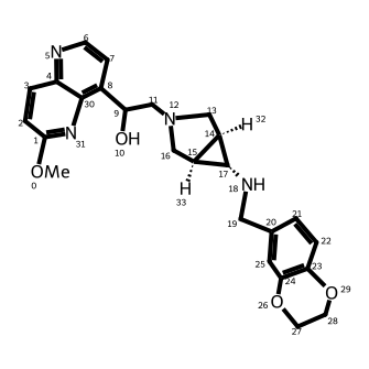 COc1ccc2nccc(C(O)CN3C[C@@H]4[C@H](C3)[C@H]4NCc3ccc4c(c3)OCCO4)c2n1